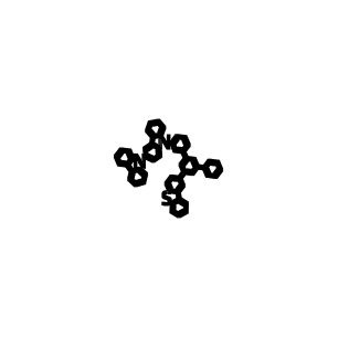 c1ccc(-c2cc(-c3cccc(-n4c5ccccc5c5cc(-n6c7ccccc7c7ccccc76)ccc54)c3)cc(-c3ccc4sc5ccccc5c4c3)c2)cc1